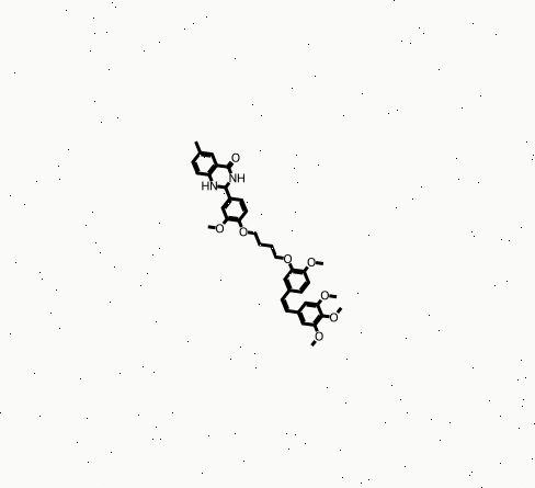 COc1cc(C2NC(=O)c3cc(C)ccc3N2)ccc1OCCCCOc1cc(/C=C\c2cc(OC)c(OC)c(OC)c2)ccc1OC